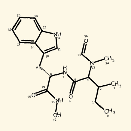 CCC(C)C(C(=O)N[C@@H](Cc1c[nH]c2ccccc12)C(=O)NO)N(C)C=O